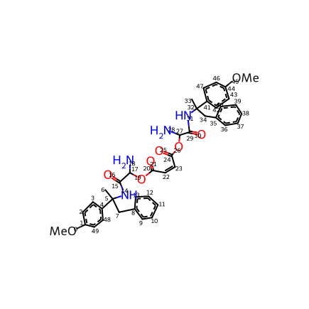 COc1ccc(C(C)(Cc2ccccc2)NC(=O)C(N)OC(=O)/C=C\C(=O)OC(N)C(=O)NC(C)(Cc2ccccc2)c2ccc(OC)cc2)cc1